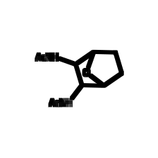 CC(=O)NC1C2CCC(O2)C1NC(C)=O